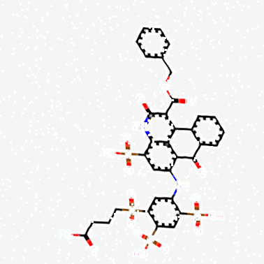 O=C(O)CCCS(=O)(=O)c1cc(Nc2cc(S(=O)(=O)O)c3[nH]c(=O)c(C(=O)OCc4ccccc4)c4c3c2C(=O)c2ccccc2-4)c(S(=O)(=O)O)cc1S(=O)(=O)O